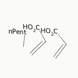 C=CC(=O)O.C=CC(=O)O.CCCCCC